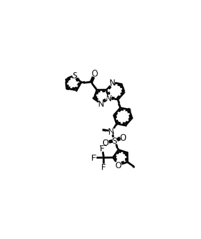 Cc1cc(S(=O)(=O)N(C)c2cccc(-c3ccnc4c(C(=O)c5cccs5)cnn34)c2)c(C(F)(F)F)o1